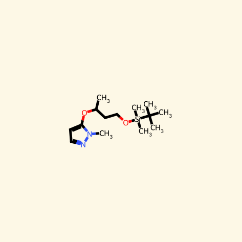 CC(CCO[Si](C)(C)C(C)(C)C)Oc1ccnn1C